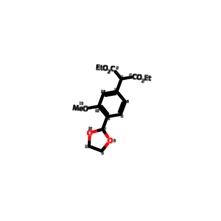 CCOC(=O)C(C(=O)OCC)c1ccc(C2OCCO2)c(OC)c1